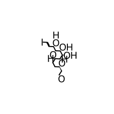 O=CC[C@H]1CC[C@@H]2O[C@@H]([C@@H](O)/C=C/I)[C@@H](O)[C@@H](O)[C@H]2O1